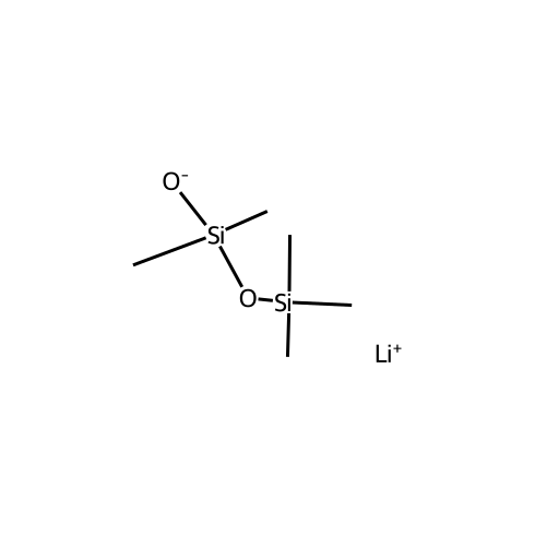 C[Si](C)(C)O[Si](C)(C)[O-].[Li+]